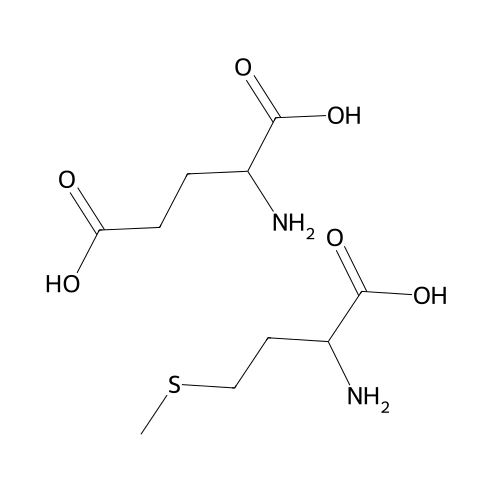 CSCCC(N)C(=O)O.NC(CCC(=O)O)C(=O)O